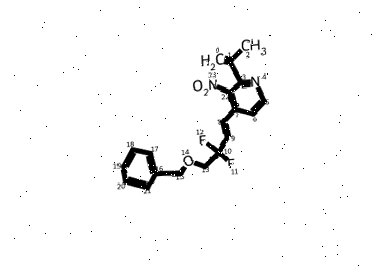 C=C(C)c1nccc(/C=C/C(F)(F)COCc2ccccc2)c1[N+](=O)[O-]